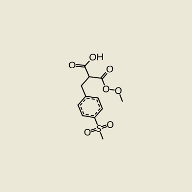 COOC(=O)C(Cc1ccc(S(C)(=O)=O)cc1)C(=O)O